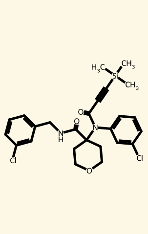 C[Si](C)(C)C#CC(=O)N(c1cccc(Cl)c1)C1(C(=O)NCc2cccc(Cl)c2)CCOCC1